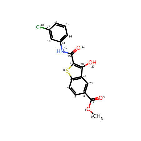 COC(=O)c1ccc2sc(C(=O)Nc3cccc(Cl)c3)c(O)c2c1